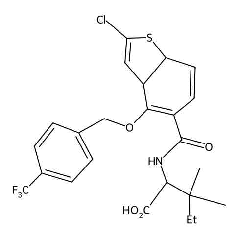 CCC(C)(C)C(NC(=O)C1=C(OCc2ccc(C(F)(F)F)cc2)C2C=C(Cl)SC2C=C1)C(=O)O